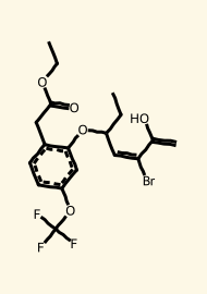 C=C(O)/C(Br)=C\C(CC)Oc1cc(OC(F)(F)F)ccc1CC(=O)OCC